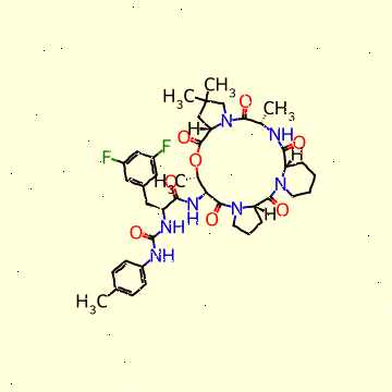 Cc1ccc(NC(=O)N[C@@H](Cc2cc(F)cc(F)c2)C(=O)N[C@@H]2C(=O)N3CCC[C@H]3C(=O)N3CCCC[C@H]3C(=O)N[C@@H](C)C(=O)N3CC(C)(C)C[C@H]3C(=O)O[C@H]2C)cc1